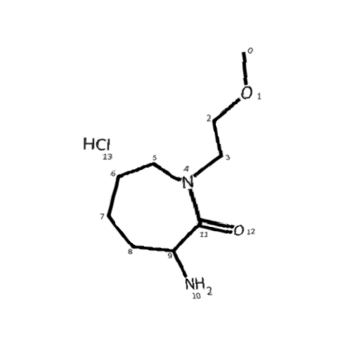 COCCN1CCCCC(N)C1=O.Cl